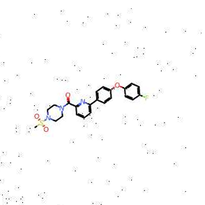 CS(=O)(=O)N1CCN(C(=O)c2cccc(-c3ccc(Oc4ccc(F)cc4)cc3)n2)CC1